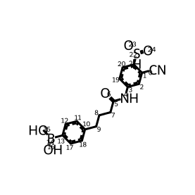 N#Cc1cc(NC(=O)CCCc2ccc(B(O)O)cc2)ccc1[SH](=O)=O